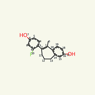 CC1=C(c2ccc(O)cc2F)CCCc2cc(O)ccc21